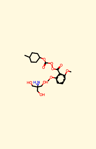 COc1cccc(OC)c1C(=O)OOC(=O)OC1CCC(C)CC1.NC(CO)(CO)CO